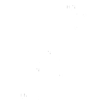 Cn1c(C(=O)N2CC=C(C(N)=O)CC2)cc(-c2ccccc2Cl)c1-c1ccc(OCC(N)=O)cc1